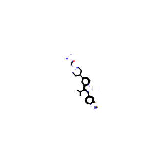 CC(C)c1c(-c2ccc3ncsc3c2)[nH]c2ccc(C3CCN(CC(=O)N(C)C)CC3)cc12